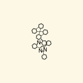 c1ccc(-c2cc(-c3ccccc3-n3c4ccccc4c4c5c(ccc43)C3(c4ccccc4-c4ccccc43)c3ccccc3-5)nc(-c3ccccc3)n2)cc1